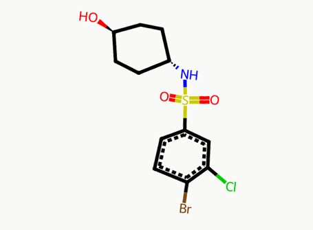 O=S(=O)(N[C@H]1CC[C@H](O)CC1)c1ccc(Br)c(Cl)c1